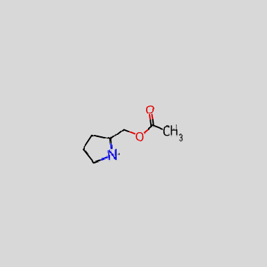 CC(=O)OCC1CCC[N]1